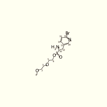 COCCOCCOC(=O)C(N)Cc1ccc(Br)nc1